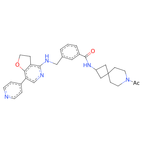 CC(=O)N1CCC2(CC1)CC(NC(=O)c1cccc(CNc3ncc(-c4ccncc4)c4c3CCO4)c1)C2